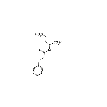 O=C(CCc1ccccc1)N[C@@H](CCS(=O)(=O)O)C(=O)O